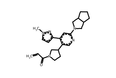 C=CC(=O)N1CCC(c2cnc(N3CC4CCCC4C3)cc2-c2ccn(C)n2)C1